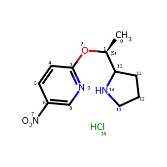 C[C@H](Oc1ccc([N+](=O)[O-])cn1)C1CCCN1.Cl